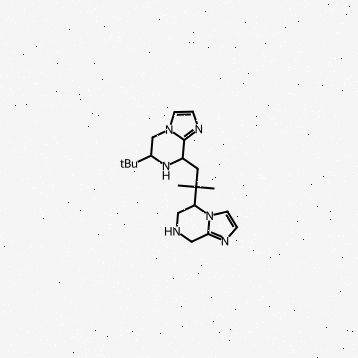 CC(C)(C)C1Cn2ccnc2C(CC(C)(C)C2CNCc3nccn32)N1